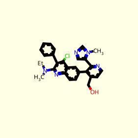 CCN(C)c1nc2ccc(-c3c(CO)ccnc3-c3cncn3C)cc2c(Cl)c1-c1ccccc1